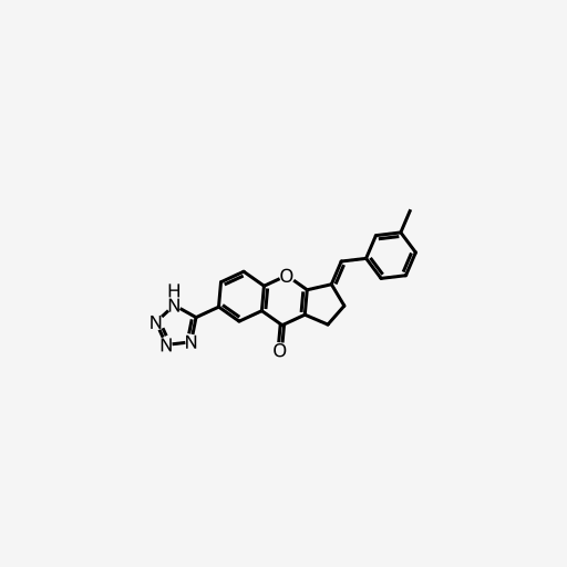 Cc1cccc(C=C2CCc3c2oc2ccc(-c4nnn[nH]4)cc2c3=O)c1